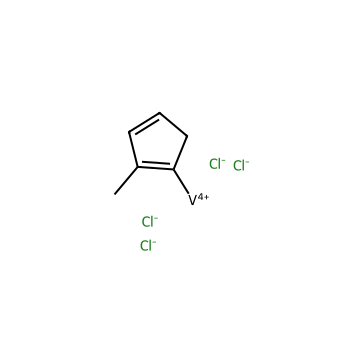 CC1=[C]([V+4])CC=C1.[Cl-].[Cl-].[Cl-].[Cl-]